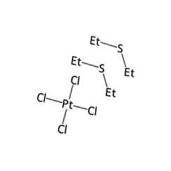 CCSCC.CCSCC.[Cl][Pt]([Cl])([Cl])[Cl]